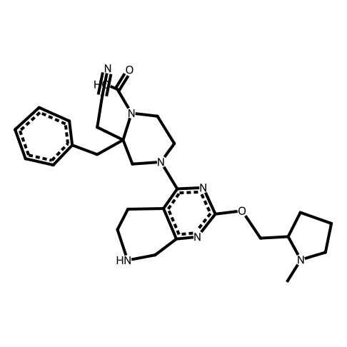 CN1CCCC1COc1nc2c(c(N3CCN(C(=O)O)C(CC#N)(Cc4ccccc4)C3)n1)CCNC2